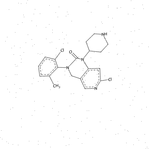 Cc1cccc(Cl)c1N1Cc2cnc(Cl)cc2N(C2CCNCC2)C1=O